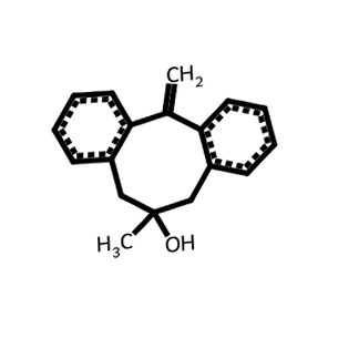 C=C1c2ccccc2CC(C)(O)Cc2ccccc21